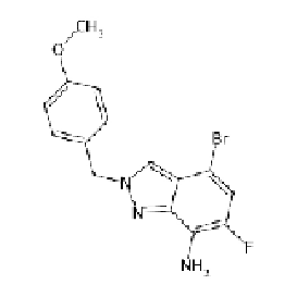 COc1ccc(Cn2cc3c(Br)cc(F)c(N)c3n2)cc1